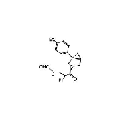 CCc1ccc(C23CC2CN(C(=O)C(CC)CNC=O)C3)cc1